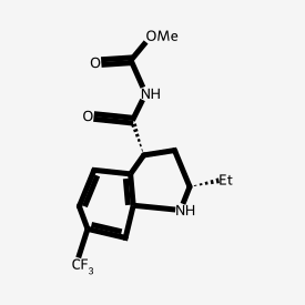 CC[C@H]1C[C@@H](C(=O)NC(=O)OC)c2ccc(C(F)(F)F)cc2N1